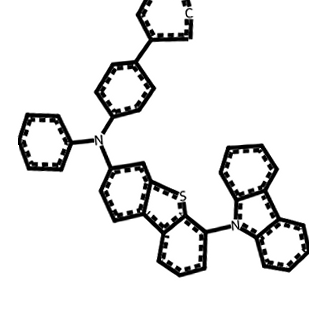 c1ccc(-c2ccc(N(c3ccccc3)c3ccc4c(c3)sc3c(-n5c6ccccc6c6ccccc65)cccc34)cc2)cc1